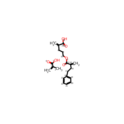 C=C(C)C(=O)O.C=C(CCCOC(=O)C(=C)CCc1ccccc1)C(=O)O